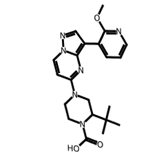 COc1ncccc1-c1cnn2ccc(N3CCN(C(=O)O)C(C(C)(C)C)C3)nc12